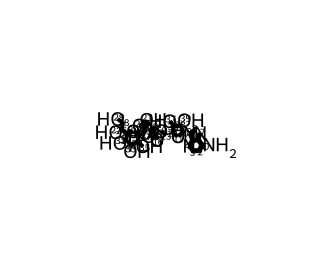 Nc1ccnc2c1ncn2[C@@H]1O[C@H](COP(=O)(O)CP(=O)(O)OC2OC([C@H](O)CO)[C@@H](O)[C@H](O)C2O)C(O)[C@@H]1O